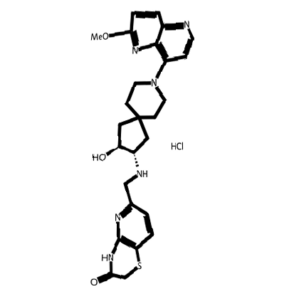 COc1ccc2nccc(N3CCC4(CC3)C[C@H](NCc3ccc5c(n3)NC(=O)CS5)[C@@H](O)C4)c2n1.Cl